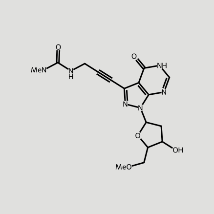 CNC(=O)NCC#Cc1nn(C2CC(O)C(COC)O2)c2nc[nH]c(=O)c12